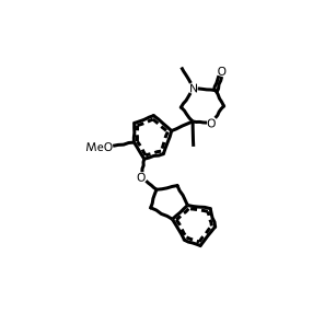 COc1ccc(C2(C)CN(C)C(=O)CO2)cc1OC1Cc2ccccc2C1